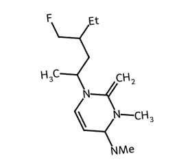 C=C1N(C)C(NC)C=CN1C(C)CC(CC)CF